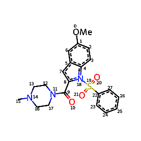 COc1ccc2c(c1)cc(C(=O)N1CCN(C)CC1)n2S(=O)(=O)c1ccccc1